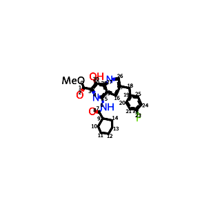 COC(=O)c1nc(NC(=O)C2CCCCC2)c2cc(Cc3ccc(F)cc3)cnc2c1O